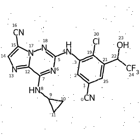 N#Cc1cc(Nc2nc(NC3CC3)c3ncc(C#N)n3n2)c(Cl)c(C(O)C(F)(F)F)c1